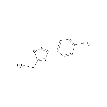 CCc1nc(-c2ccc(C)cc2)no1